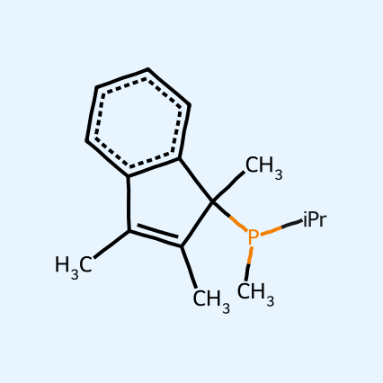 CC1=C(C)C(C)(P(C)C(C)C)c2ccccc21